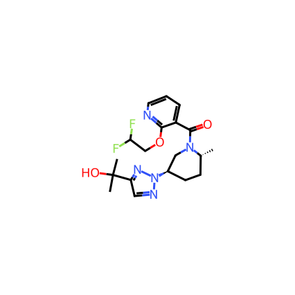 C[C@@H]1CC[C@@H](n2ncc(C(C)(C)O)n2)CN1C(=O)c1cccnc1OCC(F)F